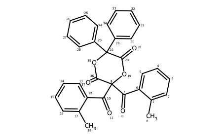 Cc1ccccc1C(=O)C1(C(=O)c2ccccc2C)OC(=O)C(c2ccccc2)(c2ccccc2)OC1=O